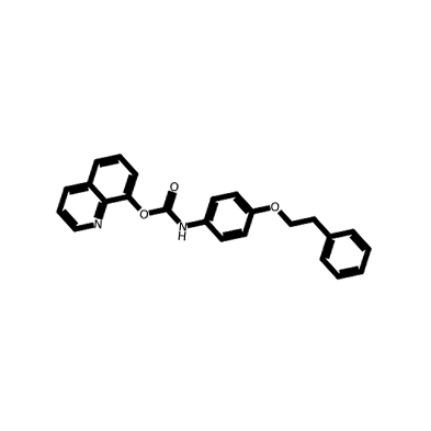 O=C(Nc1ccc(OCCc2ccccc2)cc1)Oc1cccc2cccnc12